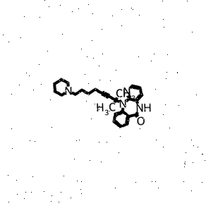 CC(C)(C#CCCCCN1CCCCC1)N1c2ccccc2C(=O)Nc2cccnc21